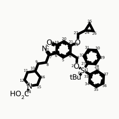 CC(C)(C)[Si](OCc1cc2c(CCC3CCN(C(=O)O)CC3)noc2cc1OCC1CC1)(c1ccccc1)c1ccccc1